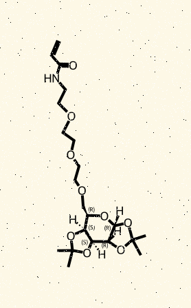 C=CC(=O)NCCOCCOCCOC[C@H]1O[C@@H]2OC(C)(C)O[C@@H]2[C@H]2OC(C)(C)O[C@H]21